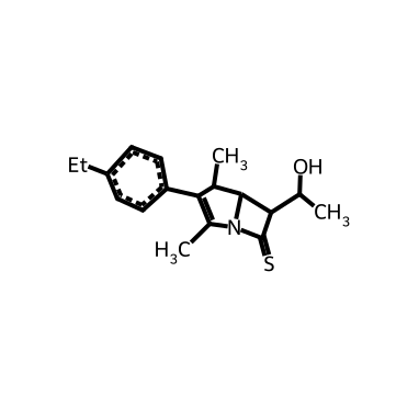 CCc1ccc(C2=C(C)N3C(=S)C(C(C)O)C3C2C)cc1